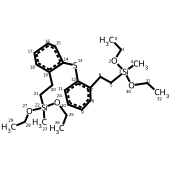 CCO[Si](C)(CCc1ccccc1Sc1ccccc1CC[Si](C)(OCC)OCC)OCC